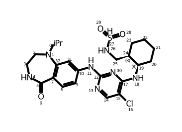 CC(C)N1CCNC(=O)c2ccc(Nc3ncc(Cl)c(N[C@@H]4CCCC[C@@H]4CN[SH](=O)=O)n3)cc21